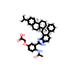 CC(=O)Nc1ccc(OCC(=O)O)cc1-c1nc2c(C[C@@]3(C)CCC[C@]4(C)c5ccc(C(C)C)cc5CC[C@@H]34)c(-c3ccccc3)ccc2[nH]1